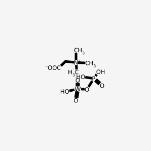 C[N+](C)(C)CC(=O)[O-].O=P(O)(O)[O][W](=[O])(=[O])[OH]